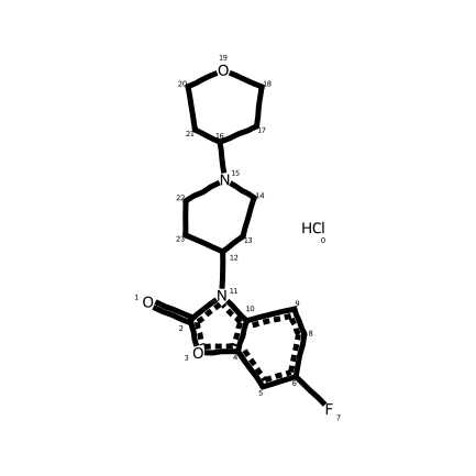 Cl.O=c1oc2cc(F)ccc2n1C1CCN(C2CCOCC2)CC1